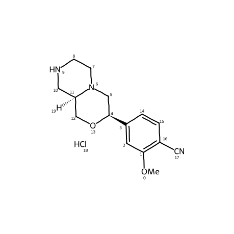 COc1cc([C@@H]2CN3CCNC[C@@H]3CO2)ccc1C#N.Cl